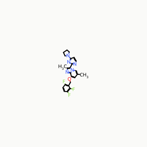 Cc1cc(OCc2c(F)ccc(F)c2F)c2nc(C)c(-c3nccc(N4CCCC4)n3)n2c1